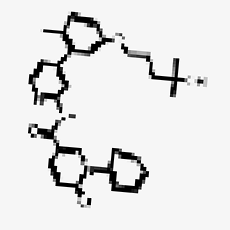 Cc1ccc(OCCCC(C)(C)O)cc1-c1ccnc(NC(=O)c2ccc(=O)n(-c3ccccc3)c2)c1